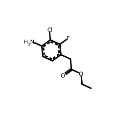 CCOC(=O)Cc1ccc(N)c(Cl)c1F